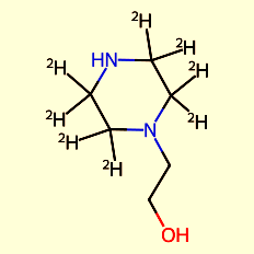 [2H]C1([2H])NC([2H])([2H])C([2H])([2H])N(CCO)C1([2H])[2H]